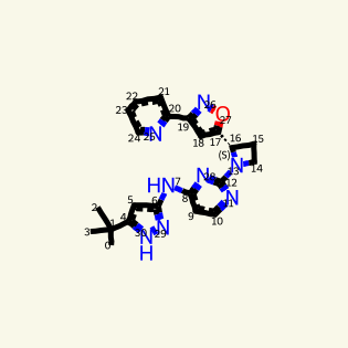 CC(C)(C)c1cc(Nc2ccnc(N3CC[C@H]3c3cc(-c4ccccn4)no3)n2)n[nH]1